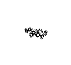 CC1(C)c2cc(-c3cncc(-c4ncco4)c3)ccc2-c2c1cc(-c1cncc(-c3ncco3)c1)c1ccccc21